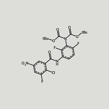 CC(C)(C)OC(=O)N(C(=O)OC(C)(C)C)c1c(F)ccc(NC(=O)c2cc([N+](=O)[O-])cc(F)c2Cl)c1F